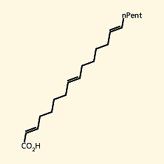 CCCCCC=CCCCCC=CCCCCC=CC(=O)O